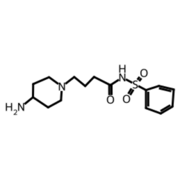 NC1CCN(CCCC(=O)NS(=O)(=O)c2ccccc2)CC1